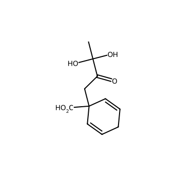 CC(O)(O)C(=O)CC1(C(=O)O)C=CCC=C1